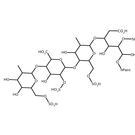 CCCCCOC(O)C(OS(=O)(=O)O)C(O)C(CC(=O)O)OC1OC(COS(=O)(=O)O)C(OC2OC(C(=O)O)C(OC3OC(COS(=O)(=O)O)C(O)C(O)C3C)C(O)C2OS(=O)(=O)O)C(O)C1C